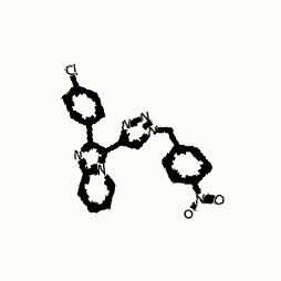 O=[N+]([O-])c1ccc(Cn2cc(-c3c(-c4ccc(Cl)cc4)nc4ccccn34)nn2)cc1